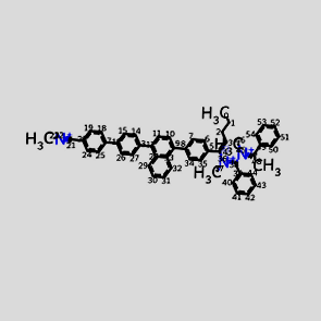 CCC/C=C(c1ccc(-c2ccc(-c3ccc(-c4ccc(C#[N+]C)cc4)cc3)c3ccccc23)cc1)/[N+](C)=C(c1ccccc1)\[N+](C)=C(/C)c1ccccc1